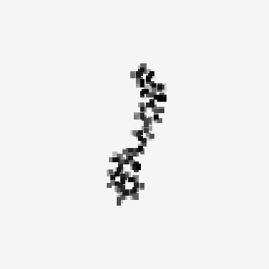 C[C@@H](C(=O)NCC1CN(c2ccc(S(=O)(=O)Nc3nccs3)cc2)C1)n1ccc2c(F)cccc21